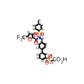 Cc1ccc(S(=O)(=O)N(Cc2ccc(-c3cccc(S(=O)(=O)CC(=O)O)c3)cc2)C(=O)c2ccc(C(F)(F)F)o2)cc1